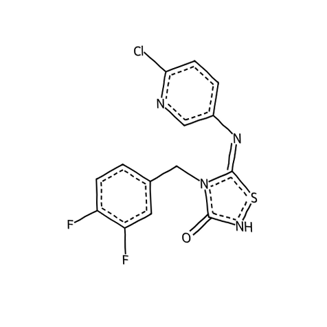 O=c1[nH]s/c(=N/c2ccc(Cl)nc2)n1Cc1ccc(F)c(F)c1